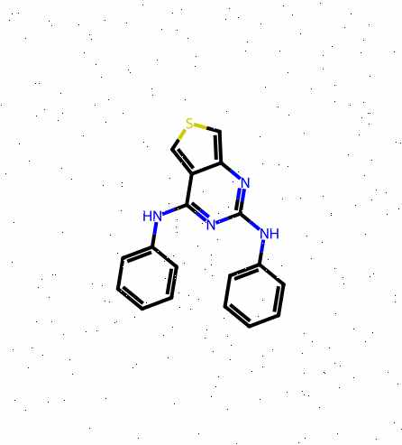 c1ccc(Nc2nc(Nc3ccccc3)c3cscc3n2)cc1